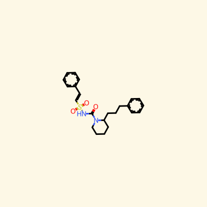 O=C(NS(=O)(=O)C=Cc1ccccc1)N1CCCCC1CCCc1ccccc1